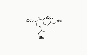 CCCCCCCCC(CCC(C)CC(C)(C)C)OC(CCCCCCCC)CCC(C)CC(C)(C)C